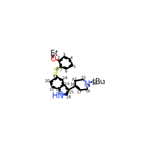 CCOc1ccccc1Sc1ccc2[nH]cc(C3=CCN(C(C)(C)C)CC3)c2c1